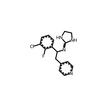 Fc1c(Cl)cccc1C(Cc1ccncc1)N=C1NCCN1